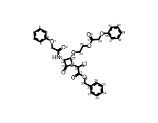 O=C(COc1ccccc1)N[C@H]1C(=O)N(C(Cl)C(=O)OCc2ccccc2)[C@H]1OCCOC(=O)COc1ccccc1